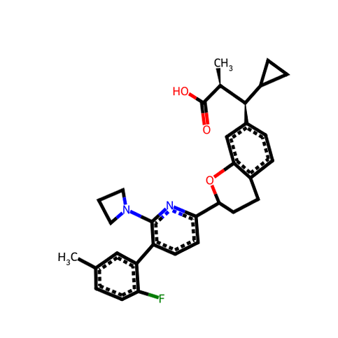 Cc1ccc(F)c(-c2ccc(C3CCc4ccc([C@H](C5CC5)[C@H](C)C(=O)O)cc4O3)nc2N2CCC2)c1